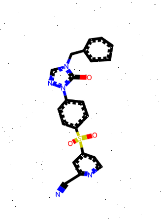 N#Cc1cc(S(=O)(=O)c2ccc(-n3ncn(Cc4ccccc4)c3=O)cc2)ccn1